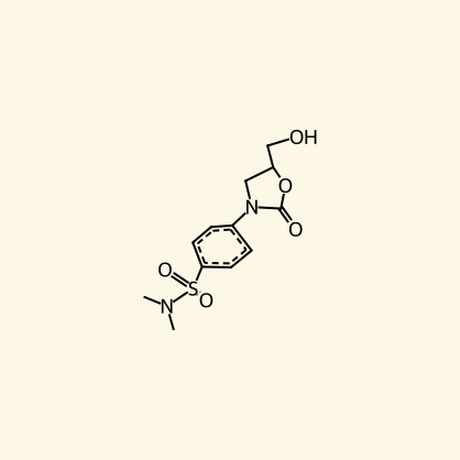 CN(C)S(=O)(=O)c1ccc(N2CC(CO)OC2=O)cc1